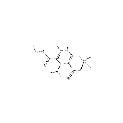 CCOC(=O)C1=C(C)NC2=C(C(=O)CC(C)(C)C2)C1C(C)C